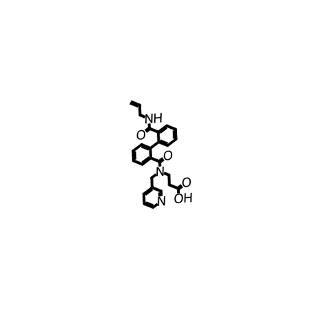 C=CCNC(=O)c1ccccc1-c1ccccc1C(=O)N(CCC(=O)O)Cc1cccnc1